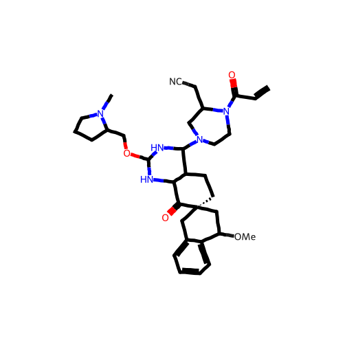 C=CC(=O)N1CCN(C2NC(OCC3CCCN3C)NC3C(=O)[C@]4(CCC32)Cc2ccccc2C(OC)C4)CC1CC#N